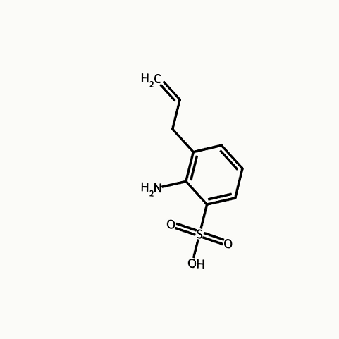 C=CCc1cccc(S(=O)(=O)O)c1N